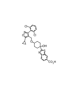 O=C(O)c1ccc2nc([C@]3(O)CC[C@@H](OCc4c(-c5c(Cl)cccc5Cl)noc4C4CC4)CC3)sc2c1